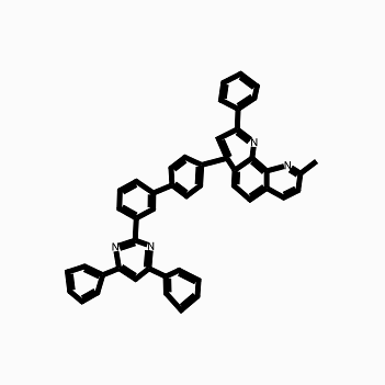 Cc1ccc2ccc3c(-c4ccc(-c5cccc(-c6nc(-c7ccccc7)cc(-c7ccccc7)n6)c5)cc4)cc(-c4ccccc4)nc3c2n1